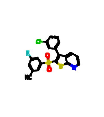 N#Cc1cc(F)cc(S(=O)(=O)c2sc3ncccc3c2-c2cccc(Cl)c2)c1